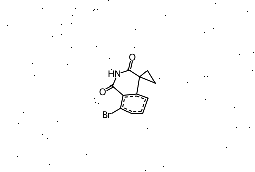 O=C1NC(=O)C2(CC2)c2cccc(Br)c21